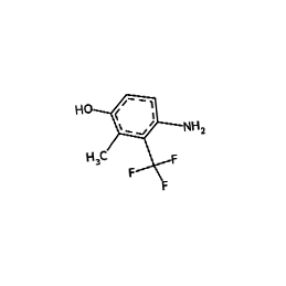 Cc1c(O)ccc(N)c1C(F)(F)F